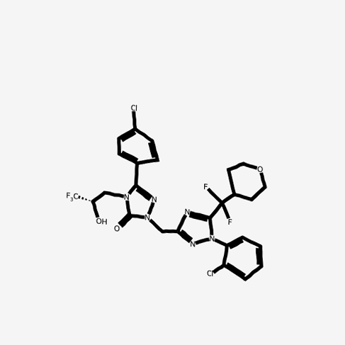 O=c1n(Cc2nc(C(F)(F)C3CCOCC3)n(-c3ccccc3Cl)n2)nc(-c2ccc(Cl)cc2)n1C[C@H](O)C(F)(F)F